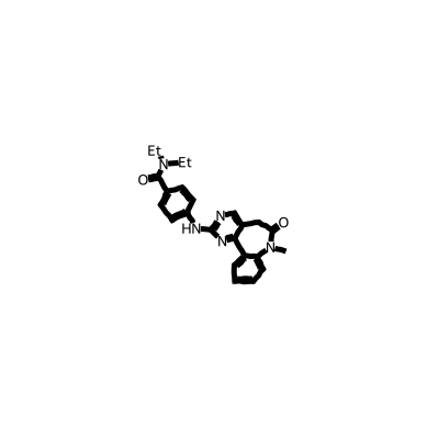 CCN(CC)C(=O)c1ccc(Nc2ncc3c(n2)-c2ccccc2N(C)C(=O)C3)cc1